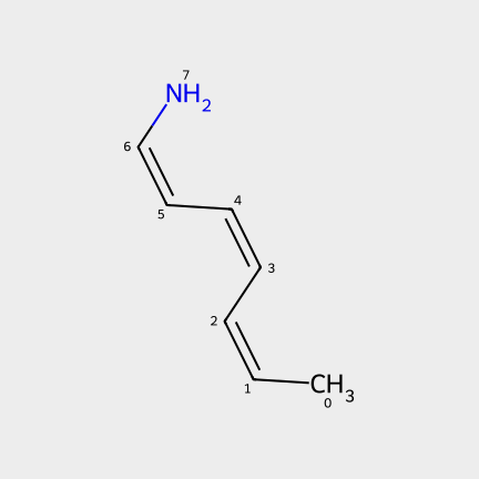 C\C=C/C=C\C=C/N